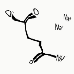 [NH-]C(=O)CCC(=O)[O-].[Na+].[Na+]